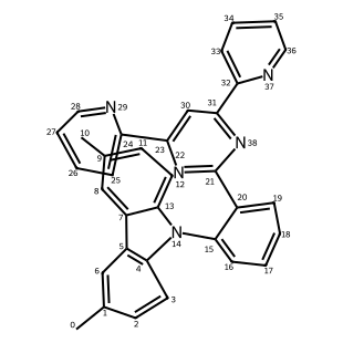 Cc1ccc2c(c1)c1cc(C)ccc1n2-c1ccccc1-c1nc(-c2ccccn2)cc(-c2ccccn2)n1